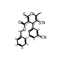 CC1=C(C#N)C(c2cccc(C#N)c2)C(C(=O)OCc2ccccc2)=C(C)O1